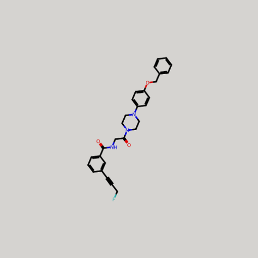 O=C(NCC(=O)N1CCN(c2ccc(OCc3ccccc3)cc2)CC1)c1cccc(C#CCF)c1